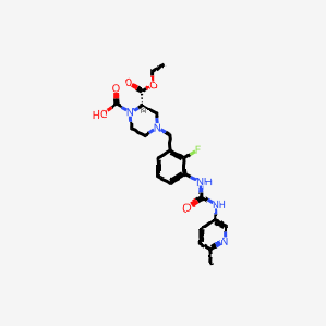 CCOC(=O)[C@@H]1CN(Cc2cccc(NC(=O)Nc3ccc(C)nc3)c2F)CCN1C(=O)O